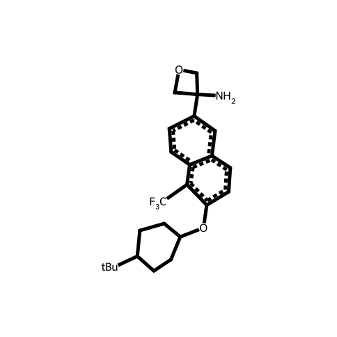 CC(C)(C)C1CCC(Oc2ccc3cc(C4(N)COC4)ccc3c2C(F)(F)F)CC1